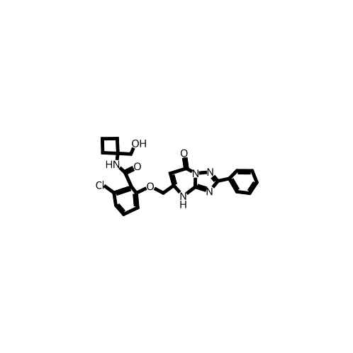 O=C(NC1(CO)CCC1)c1c(Cl)cccc1OCc1cc(=O)n2nc(-c3ccccc3)nc2[nH]1